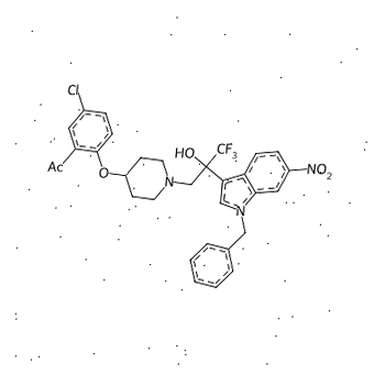 CC(=O)c1cc(Cl)ccc1OC1CCN(CC(O)(c2cn(Cc3ccccc3)c3cc([N+](=O)[O-])ccc23)C(F)(F)F)CC1